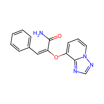 NC(=O)C(=Cc1ccccc1)Oc1cccn2ncnc12